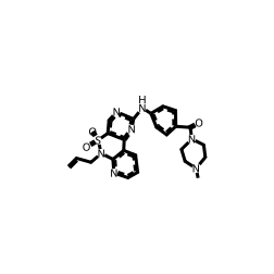 C=CCN1c2ncccc2-c2nc(Nc3ccc(C(=O)N4CCN(C)CC4)cc3)ncc2S1(=O)=O